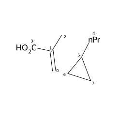 C=C(C)C(=O)O.CCCC1CC1